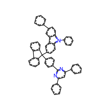 c1ccc(-c2ccc3c(c2)c2cc(C4(c5ccc(-c6nc(-c7ccccc7)cc(-c7ccccc7)n6)cc5)c5ccccc5-c5ccccc54)ccc2n3-c2ccccc2)cc1